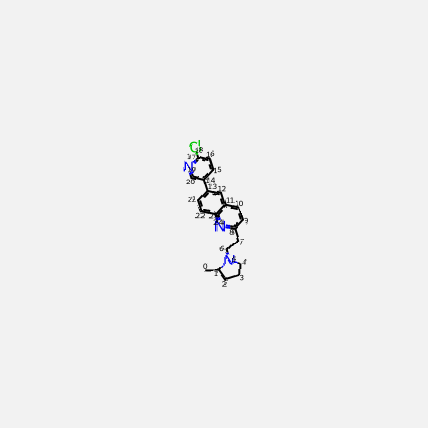 CC1CCCN1CCc1ccc2cc(-c3ccc(Cl)nc3)ccc2n1